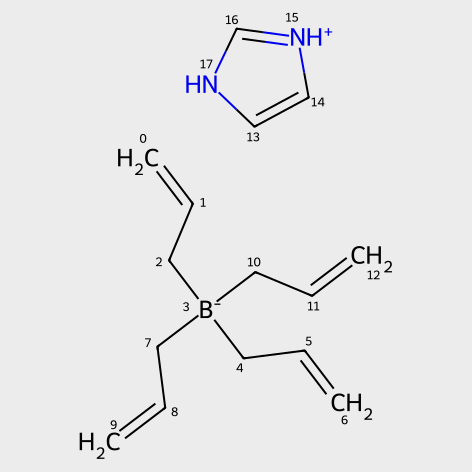 C=CC[B-](CC=C)(CC=C)CC=C.c1c[nH+]c[nH]1